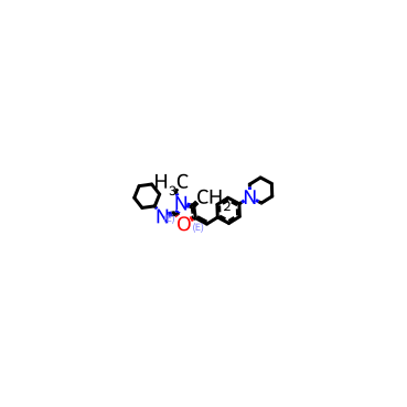 C=c1/c(=C\c2ccc(N3CCCCC3)cc2)o/c(=N/C2CCCCC2)n1CC